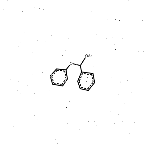 CC(=O)OC(Oc1ccccc1)c1ccccc1